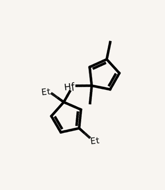 CCC1=C[C](CC)([Hf][C]2(C)C=CC(C)=C2)C=C1